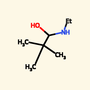 CCNC(O)C(C)(C)C